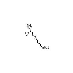 CCCCCCCCCCCCOCCCC(N)CCN